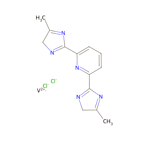 CC1=NC(c2cccc(C3=NCC(C)=N3)n2)=NC1.[Cl-].[Cl-].[V+2]